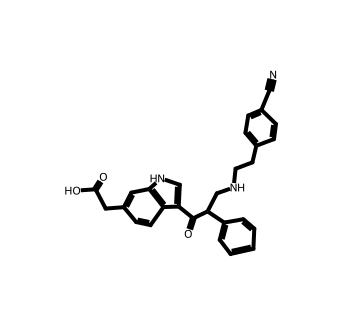 N#Cc1ccc(CCNCC(C(=O)c2c[nH]c3cc(CC(=O)O)ccc23)c2ccccc2)cc1